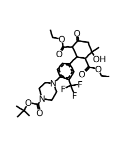 CCOC(=O)C1C(=O)CC(C)(O)C(C(=O)OCC)C1c1ccc(N2CCN(C(=O)OC(C)(C)C)CC2)c(C(F)(F)F)c1